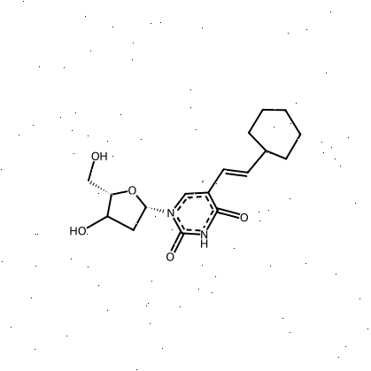 O=c1[nH]c(=O)n([C@@H]2CC(O)[C@H](CO)O2)cc1C=CC1CCCCC1